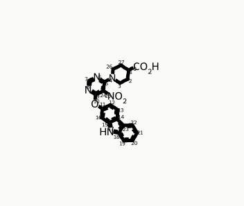 O=C(O)C1CCN(c2ncnc(Oc3ccc4c(c3)[nH]c3ccccc34)c2[N+](=O)[O-])CC1